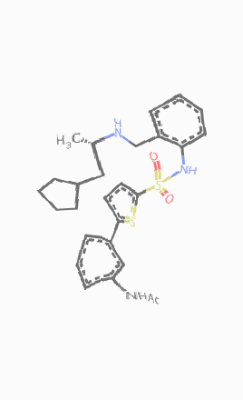 CC(=O)Nc1cccc(-c2ccc(S(=O)(=O)Nc3ccccc3CN[C@@H](C)CC3CCCC3)s2)c1